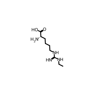 CCNC(=N)NCCCC[C@H](N)C(=O)O